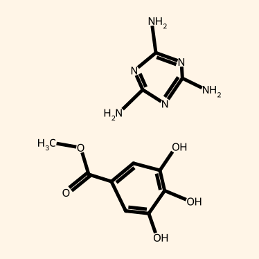 COC(=O)c1cc(O)c(O)c(O)c1.Nc1nc(N)nc(N)n1